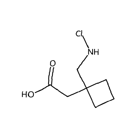 O=C(O)CC1(CNCl)CCC1